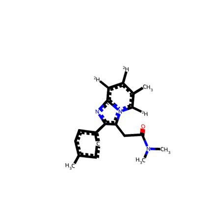 [2H]c1c(C)c([2H])n2c(CC(=O)N(C)C)c(-c3ccc(C)cc3)nc2c1[2H]